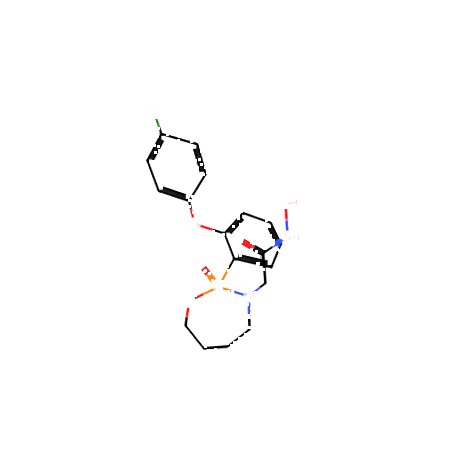 O=C(CN1CCCCOP1(=O)c1ccccc1Oc1ccc(Cl)cc1)NO